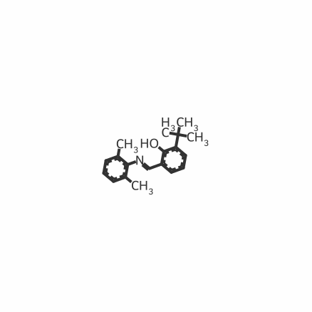 Cc1cccc(C)c1/N=C/c1cccc(C(C)(C)C)c1O